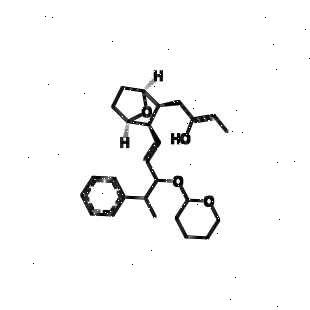 C/C=C(\O)C[C@H]1[C@@H](/C=C/C(OC2CCCCO2)C(C)c2ccccc2)[C@H]2CC[C@@H]1O2